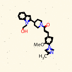 COc1cc(C=CC(=O)N2CCC(c3cc4ccccc4n3CCO)CC2)ccc1-n1cnc(C)c1